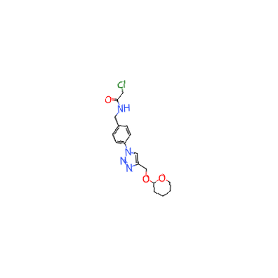 O=C(CCl)NCc1ccc(-n2cc(COC3CCCCO3)nn2)cc1